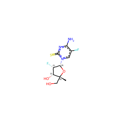 C[C@]1(CO)O[C@@H](n2cc(F)c(N)nc2=S)[C@@H](F)[C@H]1O